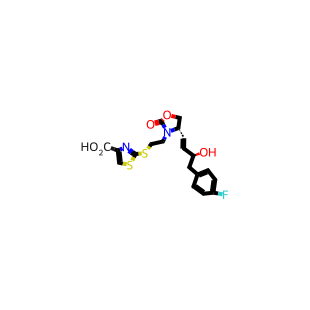 O=C(O)c1csc(SCCN2C(=O)OC[C@@H]2/C=C/[C@@H](O)Cc2ccc(F)cc2)n1